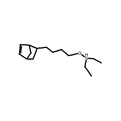 CC[SiH](CC)OCCCCC1CC2C=CC1C2